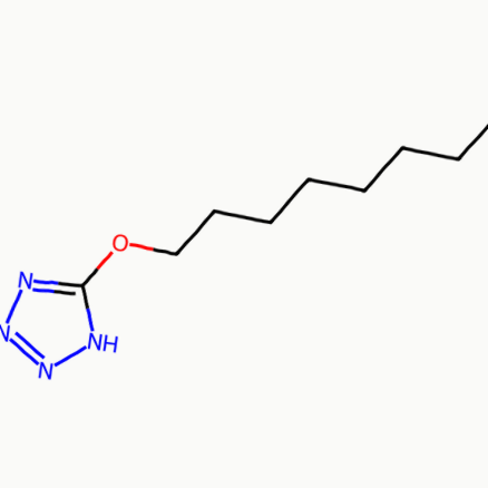 CCCCCCCCOc1nnn[nH]1